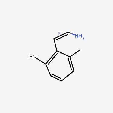 Cc1cccc(C(C)C)c1/C=C\N